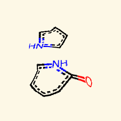 O=c1cccc[nH]1.c1cc[nH]c1